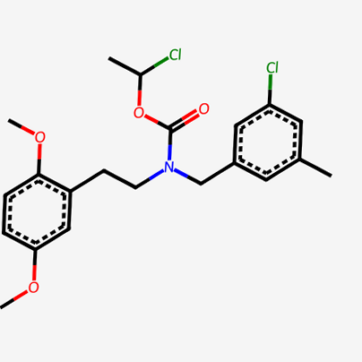 COc1ccc(OC)c(CCN(Cc2cc(C)cc(Cl)c2)C(=O)OC(C)Cl)c1